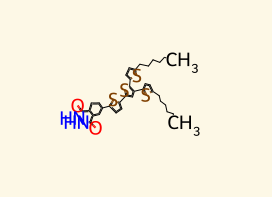 CCCCCCc1ccc(-c2cc(-c3ccc(-c4ccc5c(=O)[nH][nH]c(=O)c5c4)s3)sc2-c2ccc(CCCCCC)s2)s1